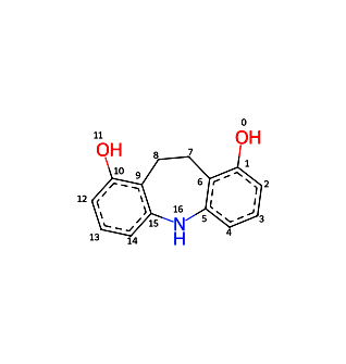 Oc1cccc2c1CCc1c(O)cccc1N2